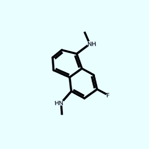 CNc1cc(F)cc2c(NC)cccc12